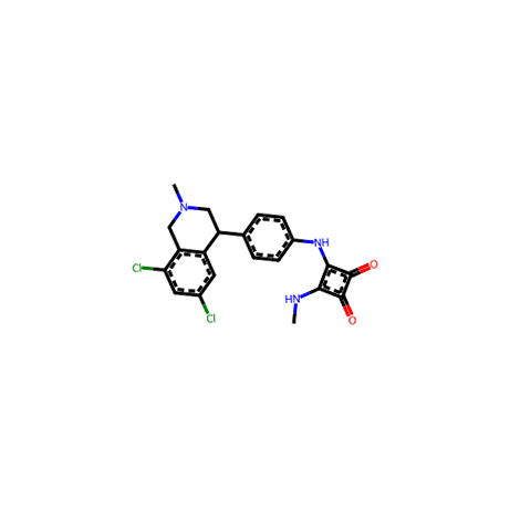 CNc1c(Nc2ccc(C3CN(C)Cc4c(Cl)cc(Cl)cc43)cc2)c(=O)c1=O